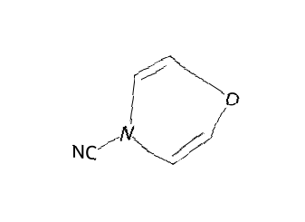 N#CN1C=COC=C1